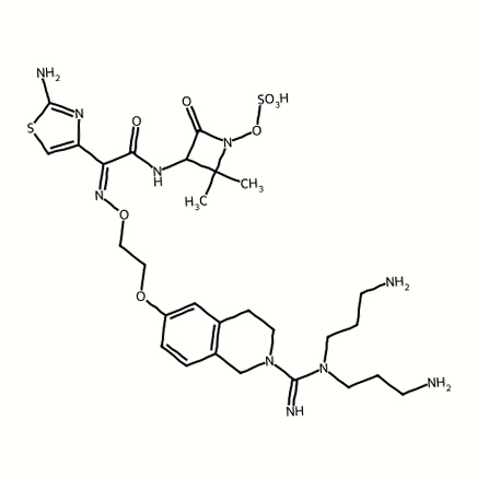 CC1(C)C(NC(=O)/C(=N\OCCOc2ccc3c(c2)CCN(C(=N)N(CCCN)CCCN)C3)c2csc(N)n2)C(=O)N1OS(=O)(=O)O